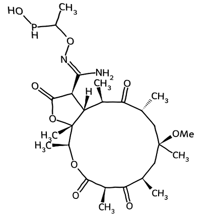 CO[C@@]1(C)C[C@@H](C)C(=O)[C@@H](C)C(=O)O[C@@H](C)[C@]2(C)OC(=O)[C@@H](/C(N)=N/OC(C)PO)[C@@H]2[C@@H](C)C(=O)[C@H](C)C1